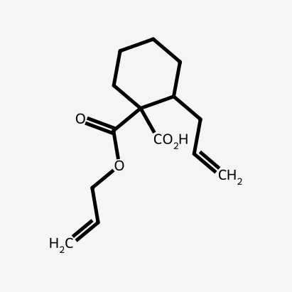 C=CCOC(=O)C1(C(=O)O)CCCCC1CC=C